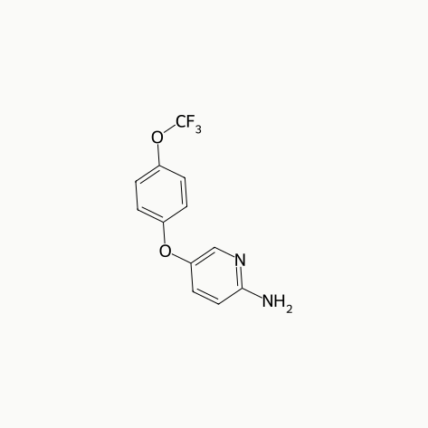 Nc1ccc(Oc2ccc(OC(F)(F)F)cc2)cn1